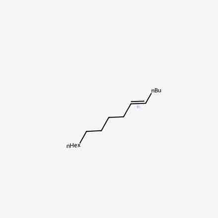 [CH2]CCC/C=C/CCCCCCCCC[CH2]